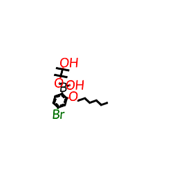 CCCCCCOc1cc(Br)ccc1B(O)OC(C)(C)C(C)(C)O